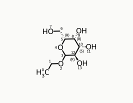 CCOC1O[C@H](CO)[C@H](O)[C@H](O)[C@H]1O